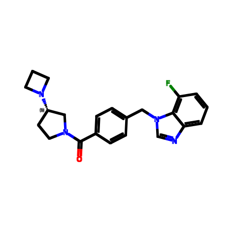 O=C(c1ccc(Cn2cnc3cccc(F)c32)cc1)N1CC[C@H](N2CCC2)C1